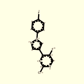 Fc1ccc(-n2cc(-c3nc(Cl)ncc3F)cn2)cc1